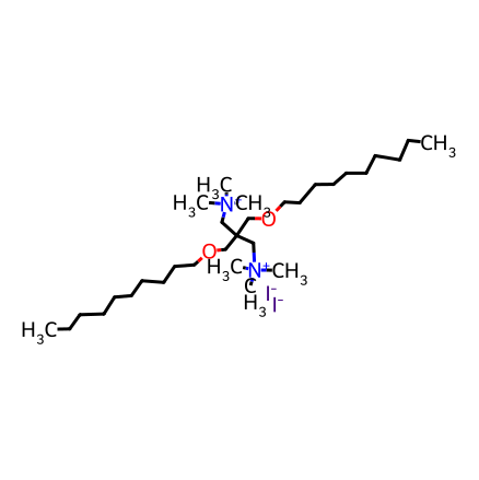 CCCCCCCCCCOCC(COCCCCCCCCCC)(C[N+](C)(C)C)C[N+](C)(C)C.[I-].[I-]